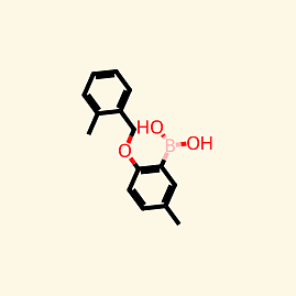 Cc1ccc(OCc2ccccc2C)c(B(O)O)c1